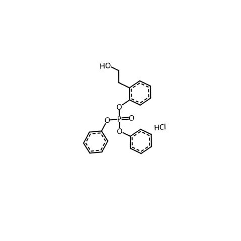 Cl.O=P(Oc1ccccc1)(Oc1ccccc1)Oc1ccccc1CCO